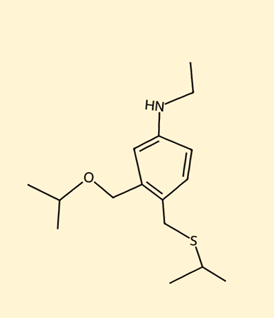 CCNc1ccc(CSC(C)C)c(COC(C)C)c1